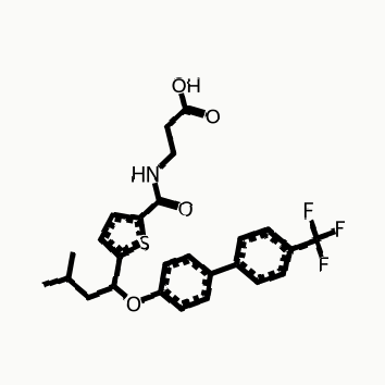 CC(C)CC(Oc1ccc(-c2ccc(C(F)(F)F)cc2)cc1)c1ccc(C(=O)NCCC(=O)O)s1